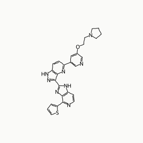 c1csc(-c2nccc3[nH]c(-c4n[nH]c5ccc(-c6cncc(OCCN7CCCC7)c6)nc45)nc23)c1